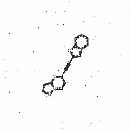 C(#Cc1cc2ccccc2o1)c1ccn2nccc2n1